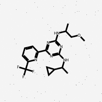 COCC(C)Nc1nc(NC(C)C2CC2)nc(-c2cccc(C(F)(F)F)n2)n1